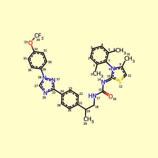 Cc1cccc(C)c1-n1c(C)cs/c1=N\C(=O)NCC(C)c1ccc(-c2ncn(-c3ccc(OC(F)(F)F)cc3)n2)cc1